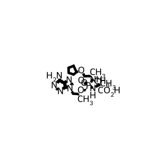 C[C@H](Cn1cnc2c(N)ncnc21)OC[P@@](=O)(N[C@H](C)C(=O)OC1CCCC1)NC(C)(C)C(=O)O